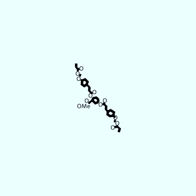 C=CC(=O)OCOc1ccc(C=CC(=O)Oc2ccc(OC(=O)C=Cc3ccc(OCOC(=O)C=C)cc3)c(C(=O)OC)c2)cc1